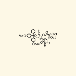 CCCCCCCCN(CCCCCCCC)C(=O)COC1C(O)[C@@H](COC(c2ccccc2)(c2ccc(OC)cc2)c2ccc(OC)cc2)O[C@H]1n1ccc(=O)[nH]c1=O